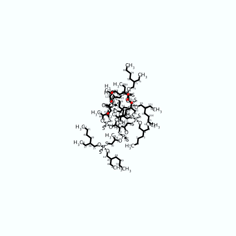 CCCCC(CC)COP(=S)(OCC(CC)CCCC)SCC(C)OP(=S)(OC(C)CSP(=S)(OCC(CC)CCCC)OCC(CC)CCCC)SCC(C)OP(=S)(OC(C)CSP(=S)(OC(C)CSP(=S)(OCC(CC)CCCC)OCC(CC)CCCC)OC(C)CSP(=S)(OCC(CC)CCCC)OCC(CC)CCCC)SCCC(=O)OCC